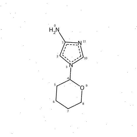 Nc1cn(C2CCCCO2)cn1